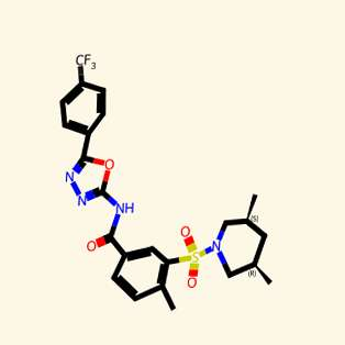 Cc1ccc(C(=O)Nc2nnc(-c3ccc(C(F)(F)F)cc3)o2)cc1S(=O)(=O)N1C[C@H](C)C[C@H](C)C1